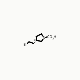 O=C(O)N1CC[C@@H](CCBr)C1